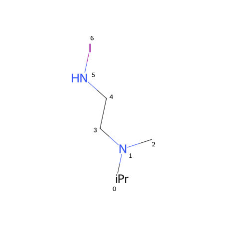 CC(C)N(C)CCNI